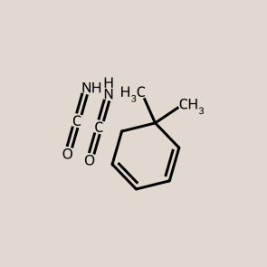 CC1(C)C=CC=CC1.N=C=O.N=C=O